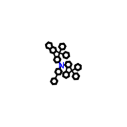 c1ccc(-c2ccc(N(c3ccc4c(c3)C(c3ccccc3)(c3ccccc3)c3cc5ccccc5cc3-4)c3cccc4c3-c3ccccc3C4(c3ccccc3)c3ccccc3)cc2)cc1